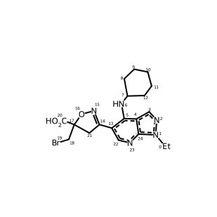 CCn1ncc2c(NC3CCCCC3)c(C3=NOC(CBr)(C(=O)O)C3)cnc21